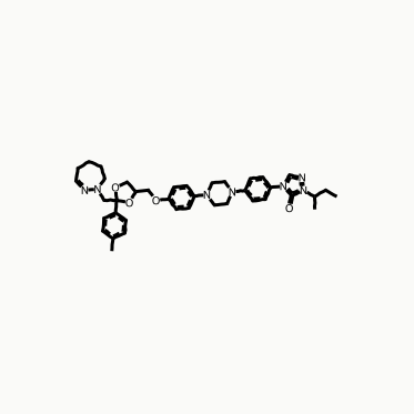 CCC(C)n1ncn(-c2ccc(N3CCN(c4ccc(OCC5COC(CN6CCCCC=N6)(c6ccc(C)cc6)O5)cc4)CC3)cc2)c1=O